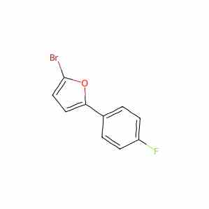 Fc1ccc(-c2ccc(Br)o2)cc1